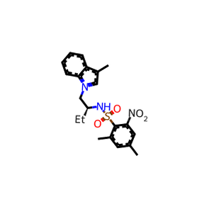 CC[C@@H](Cn1cc(C)c2ccccc21)NS(=O)(=O)c1c(C)cc(C)cc1[N+](=O)[O-]